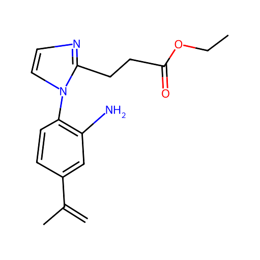 C=C(C)c1ccc(-n2ccnc2CCC(=O)OCC)c(N)c1